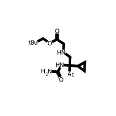 CC(=O)C(CNCC(=O)OCC(C)(C)C)(NC(N)=O)C1CC1